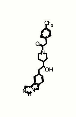 O=C(Cc1ccc(C(F)(F)F)cc1)N1CCC(C(O)CC2C=Cc3cn4nncc4c3=C2)CC1